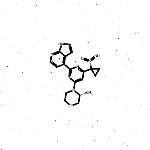 C[C@@H]1COCCN1c1cc(C2([SH](=N)=O)CC2)nc(-c2ccnc3[nH]ccc23)n1